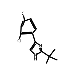 CC(C)(C)c1nc(-c2ccc(Cl)cc2Cl)c[nH]1